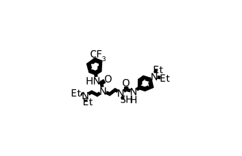 CCN(CC)CCN(CCN(S)C(=O)Nc1ccc(N(CC)CC)cc1)C(=O)Nc1ccc(C(F)(F)F)cc1